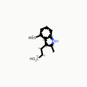 CSc1cccc2[nH]c(C)c(CCC(=O)O)c12